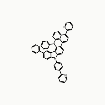 c1ccc(-c2ccc3c(c2)c2c4c(ccc2n3-c2ccc(-c3ccccn3)cc2)-c2ccc(-c3ccccn3)c3cccc(c23)N4c2ccccc2)cc1